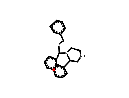 c1ccc(COC(c2ccccc2)N2CCNCC2c2ccccc2)cc1